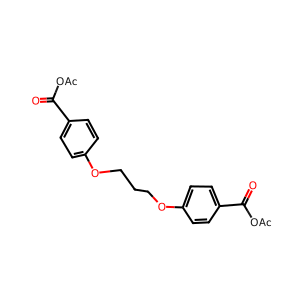 CC(=O)OC(=O)c1ccc(OCCCOc2ccc(C(=O)OC(C)=O)cc2)cc1